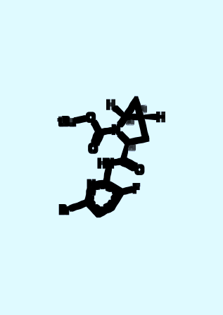 CC(C)(C)OC(=O)N1[C@@H]2C[C@@H]2C[C@H]1C(=O)Nc1nc(Br)ccc1F